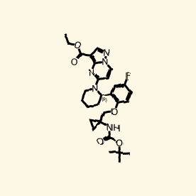 CCOC(=O)c1cnn2ccc(N3CCCC[C@@H]3c3cc(F)ccc3OCC3(NC(=O)OC(C)(C)C)CC3)nc12